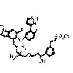 CCOC(=O)CCc1cccc(C(O)CCOCC(C)(C)CSCc2c(Oc3ccc(F)c(-c4cc[nH]n4)c3)c(F)cc3c2ccn3SI)c1